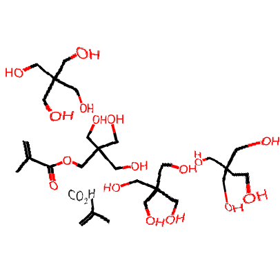 C=C(C)C(=O)O.C=C(C)C(=O)OCC(CO)(CO)CO.OCC(CO)(CO)CO.OCC(CO)(CO)CO.OCC(CO)(CO)CO